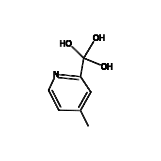 Cc1ccnc(C(O)(O)O)c1